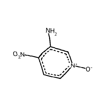 Nc1c[n+]([O-])ccc1[N+](=O)[O-]